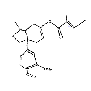 C/C=C(\C)C(=O)OC1=CCC2(c3ccc(OC)c(OC)c3)CCN(C)C2C1